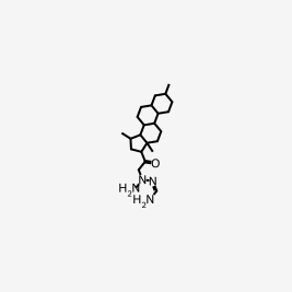 CC1CCC2C(CCC3C2CCC2(C)C(C(=O)CN(N)/N=C\N)CC(C)C32)C1